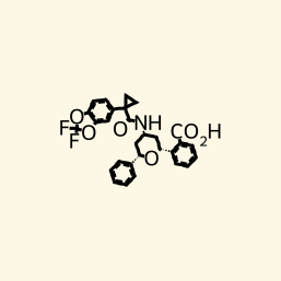 O=C(O)c1ccccc1[C@H]1C[C@@H](NC(=O)C2(c3ccc4c(c3)OC(F)(F)O4)CC2)C[C@@H](c2ccccc2)O1